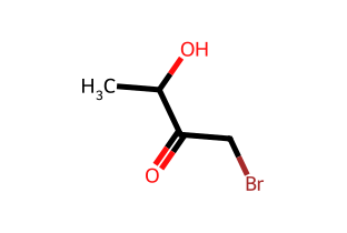 CC(O)C(=O)CBr